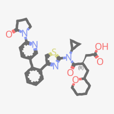 O=C(O)C[C@@H](CC1CCCCO1)C(=O)N(c1nc(-c2ccccc2-c2ccc(N3CCCC3=O)nc2)cs1)C1CC1